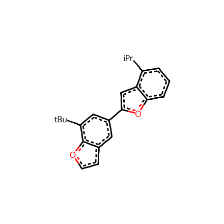 CC(C)c1cccc2oc(-c3cc(C(C)(C)C)c4occc4c3)cc12